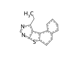 CCc1ncnc2sc3ccc4ccccc4c3c12